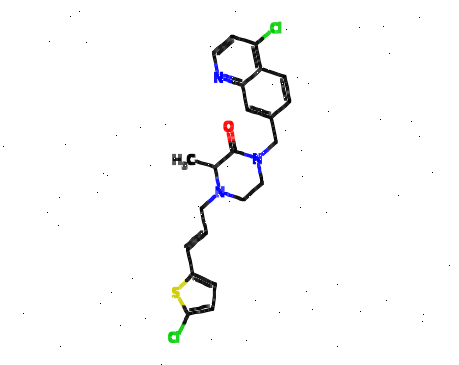 CC1C(=O)N(Cc2ccc3c(Cl)ccnc3c2)CCN1CC=Cc1ccc(Cl)s1